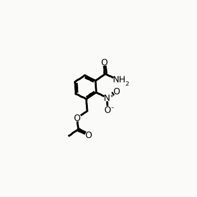 CC(=O)OCc1cccc(C(N)=O)c1[N+](=O)[O-]